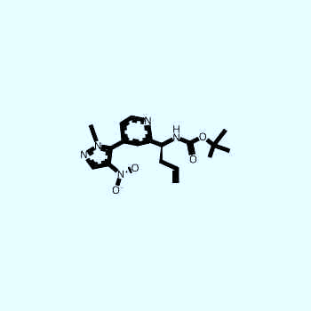 C=CC[C@H](NC(=O)OC(C)(C)C)c1cc(-c2c([N+](=O)[O-])cnn2C)ccn1